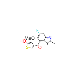 COC1=C(F)CC2=NC(C)=[C]C2=C1C(=O)c1csc(O)c1